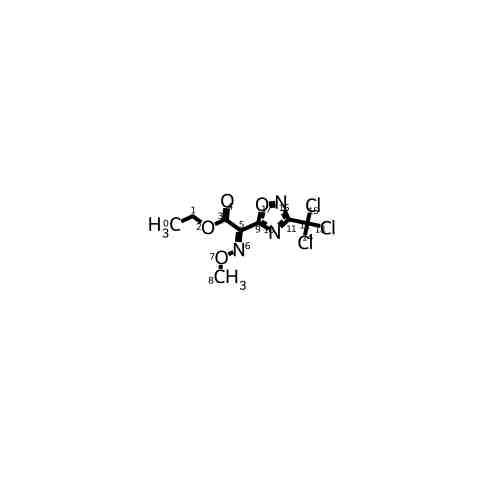 CCOC(=O)C(=NOC)c1nc(C(Cl)(Cl)Cl)no1